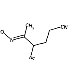 CC(=O)C(CCC#N)C(C)=NO